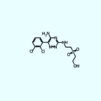 Nc1nc(NCCS(=O)(=O)CCO)nnc1-c1cccc(Cl)c1Cl